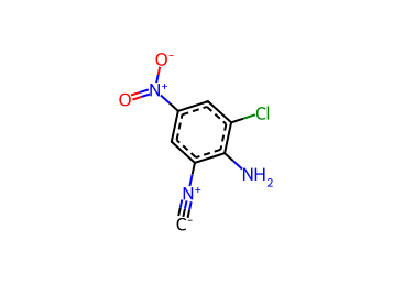 [C-]#[N+]c1cc([N+](=O)[O-])cc(Cl)c1N